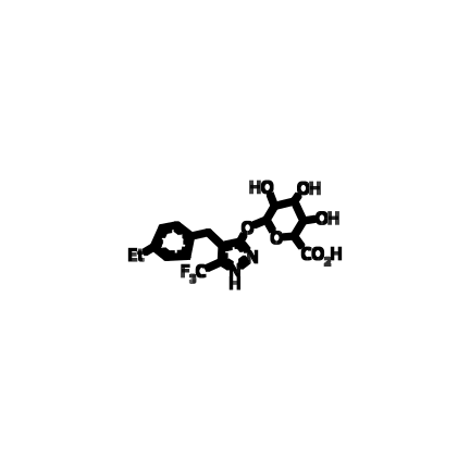 CCc1ccc(Cc2c(OC3OC(C(=O)O)C(O)C(O)C3O)n[nH]c2C(F)(F)F)cc1